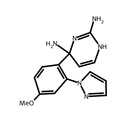 COc1ccc(C2(N)C=CNC(N)=N2)c(-n2cccn2)c1